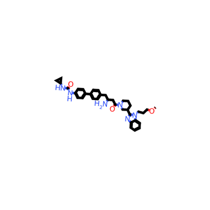 COCCCn1c(C2CCCN(C(=O)CC(N)Cc3ccc(-c4ccc(NC(=O)NC5CC5)cc4)cc3)C2)nc2ccccc21